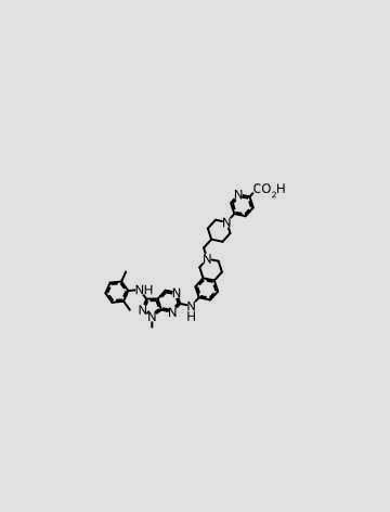 Cc1cccc(C)c1Nc1nn(C)c2nc(Nc3ccc4c(c3)CN(CC3CCN(c5ccc(C(=O)O)nc5)CC3)CC4)ncc12